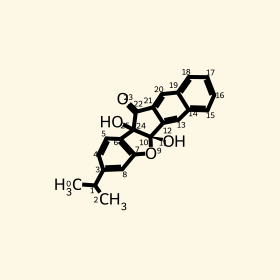 CC(C)c1ccc2c(c1)O[C@@]1(O)c3cc4ccccc4cc3C(=O)C21O